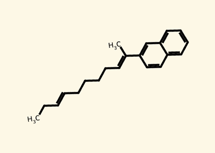 CCC=CCCCCC=C(C)c1ccc2ccccc2c1